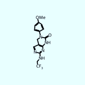 COc1ccc(N2Cc3cnc(NCC(F)(F)F)nc3NC2=O)cc1